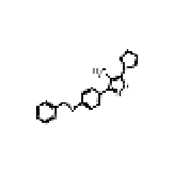 Cc1c(-c2ccc(OCc3ccccc3)cc2)noc1N1CCCC1